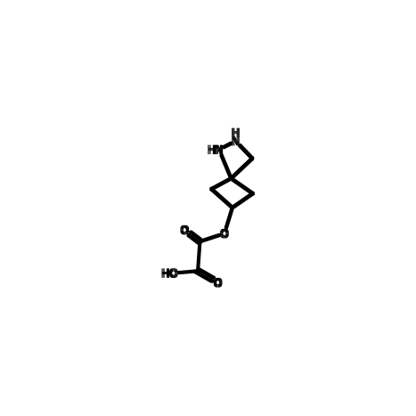 O=C(O)C(=O)OC1CC2(CNN2)C1